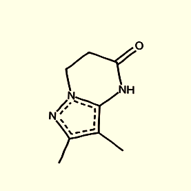 Cc1nn2c(c1C)NC(=O)CC2